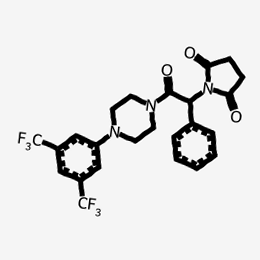 O=C(C(c1ccccc1)N1C(=O)CCC1=O)N1CCN(c2cc(C(F)(F)F)cc(C(F)(F)F)c2)CC1